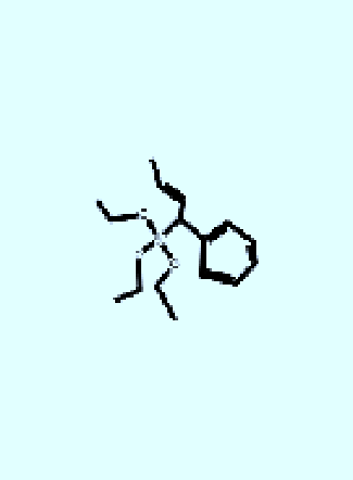 CC=CC(c1ccccc1)[Si](OCC)(OCC)OCC